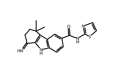 CC1(C)CCC(=N)c2[nH]c3ccc(C(=O)Nc4nccs4)cc3c21